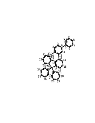 Clc1ccc(-c2ccccn2)cc1-c1cccc2c1-c1ccccc1C2(c1ccccc1)c1ccccc1